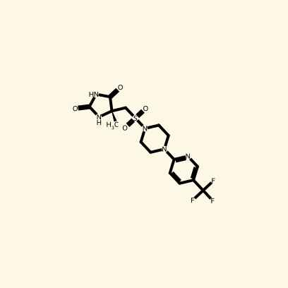 C[C@@]1(CS(=O)(=O)N2CCN(c3ccc(C(F)(F)F)cn3)CC2)NC(=O)NC1=O